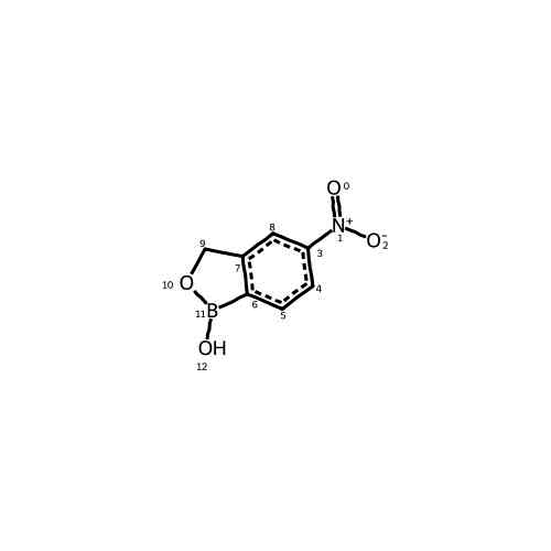 O=[N+]([O-])c1ccc2c(c1)COB2O